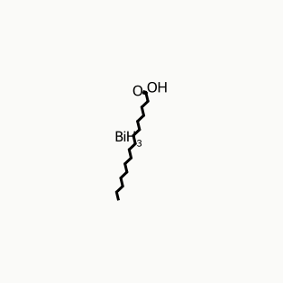 CCCCCCCCCCCCCCCC(=O)O.[BiH3]